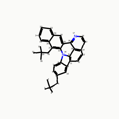 CC(C)(C)Cc1ccc2c(c1)c1ccc3ccnc4c5cc6ccccc6c(CC(C)(C)C)c5n2c1c34